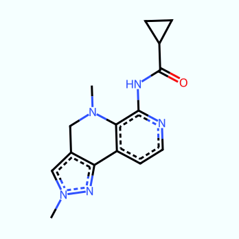 CN1Cc2cn(C)nc2-c2ccnc(NC(=O)C3CC3)c21